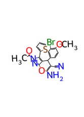 COc1ccc(C2C(C#N)=C(N)Oc3nn(C(C)=O)c(-c4cccs4)c32)cc1Br